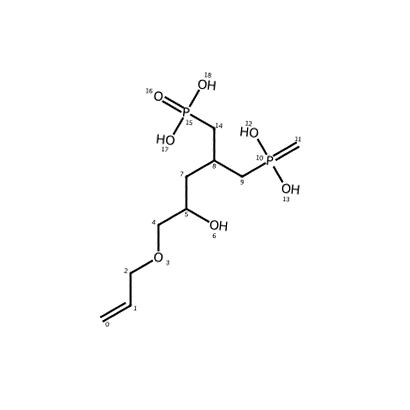 C=CCOCC(O)CC(CP(=C)(O)O)CP(=O)(O)O